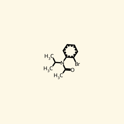 CC(=O)N(c1ccccc1Br)C(C)C